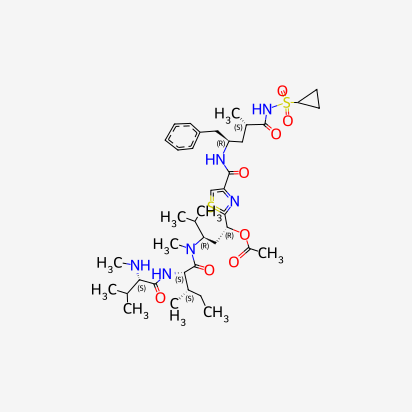 CC[C@H](C)[C@H](NC(=O)[C@@H](NC)C(C)C)C(=O)N(C)[C@H](C[C@@H](OC(C)=O)c1nc(C(=O)N[C@@H](Cc2ccccc2)C[C@H](C)C(=O)NS(=O)(=O)C2CC2)cs1)C(C)C